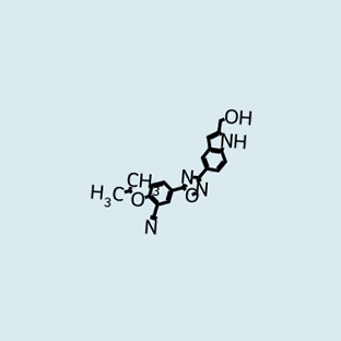 CC(C)Oc1ccc(-c2nc(-c3ccc4[nH]c(CO)cc4c3)no2)cc1C#N